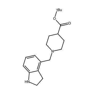 CC(C)(C)OC(=O)C1CCN(Cc2cccc3c2CCN3)CC1